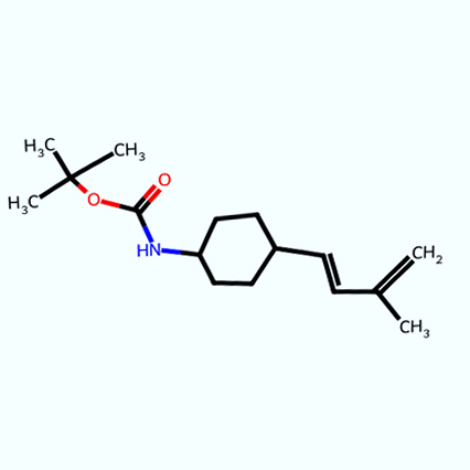 C=C(C)C=CC1CCC(NC(=O)OC(C)(C)C)CC1